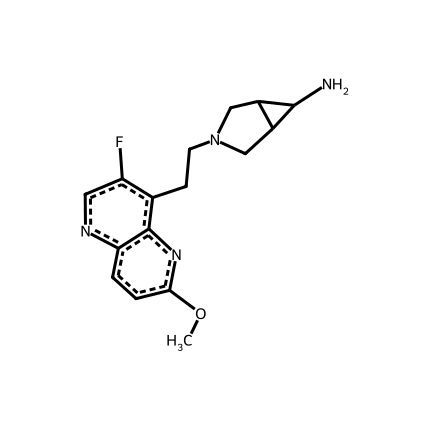 COc1ccc2ncc(F)c(CCN3CC4C(N)C4C3)c2n1